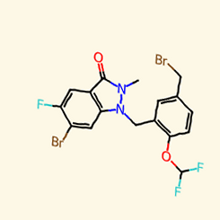 Cn1c(=O)c2cc(F)c(Br)cc2n1Cc1cc(CBr)ccc1OC(F)F